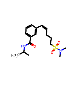 CC(NC(=O)c1cccc(/C=C\CCCS(=O)(=O)N(C)C)c1)C(=O)O